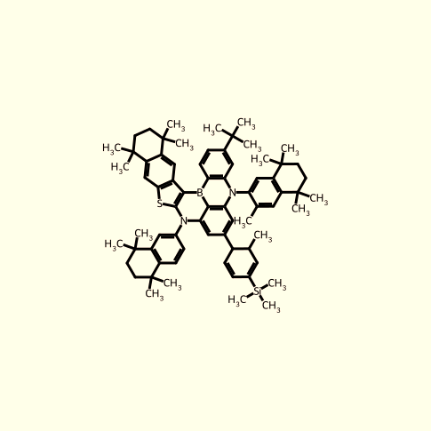 Cc1cc2c(cc1N1c3cc(C(C)(C)C)ccc3B3c4c1cc(C1C=CC([Si](C)(C)C)=CC1C)cc4N(c1ccc4c(c1)C(C)(C)CCC4(C)C)c1sc4cc5c(cc4c13)C(C)(C)CCC5(C)C)C(C)(C)CCC2(C)C